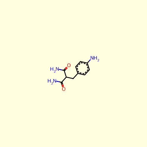 NC(=O)C(Cc1ccc(N)cc1)C(N)=O